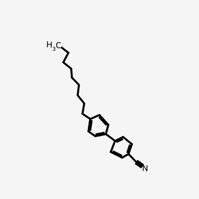 CCCCCCCCCc1ccc(-c2ccc(C#N)cc2)cc1